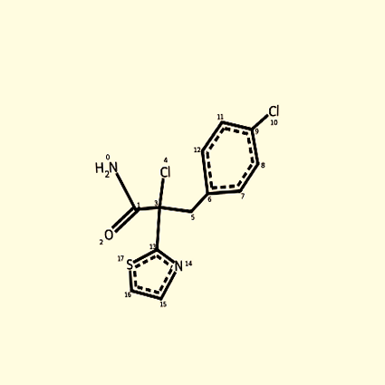 NC(=O)C(Cl)(Cc1ccc(Cl)cc1)c1nccs1